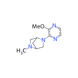 COc1nccnc1N1CC2CC1CN2C